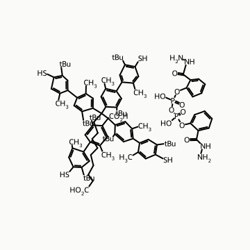 Cc1cc(S)c(C(C)(C)C)cc1-c1cc(C(C)(C)C)c(C(CCCCCCCCC(=O)O)(c2cc(C)c(-c3cc(C(C)(C)C)c(S)cc3C)cc2C(C)(C)C)C(C(=O)O)(c2cc(C)c(-c3cc(C(C)(C)C)c(S)cc3C)cc2C(C)(C)C)c2cc(C)c(-c3cc(C(C)(C)C)c(S)cc3C)cc2C(C)(C)C)cc1C.NNC(=O)c1ccccc1OP(=O)(O)OP(=O)(O)Oc1ccccc1C(=O)NN